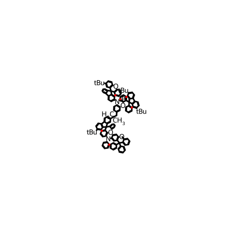 CC(C)(C)c1ccc2c(c1)C1(c3cc(C(C)(C)C)ccc3O2)c2ccccc2-c2ccc(N(c3ccc(CC(C)(C)c4ccc5c(c4)C4(c6ccccc6Oc6c(N(c7ccccc7)c7ccc8c(c7)C(c7ccccc7)(c7ccccc7)c7ccccc7O8)cccc64)c4cc(C(C)(C)C)ccc4-5)cc3)c3cccc4c3Oc3ccccc3C43c4cc(C(C)(C)C)ccc4-c4ccc(C(C)(C)C)cc43)cc21